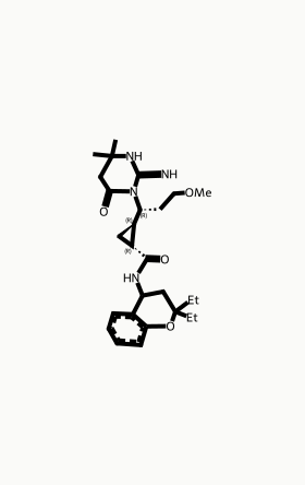 CCC1(CC)CC(NC(=O)[C@@H]2C[C@H]2[C@@H](CCOC)N2C(=N)NC(C)(C)CC2=O)c2ccccc2O1